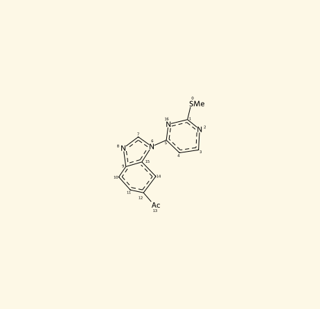 CSc1nccc(-n2cnc3ccc(C(C)=O)cc32)n1